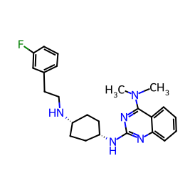 CN(C)c1nc(N[C@H]2CC[C@@H](NCCc3cccc(F)c3)CC2)nc2ccccc12